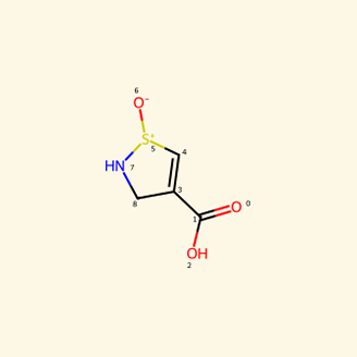 O=C(O)C1=C[S+]([O-])NC1